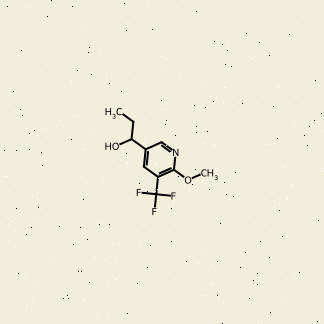 CCC(O)c1cnc(OC)c(C(F)(F)F)c1